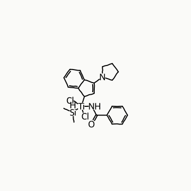 C[SiH](C)[Ti]([Cl])([Cl])([NH]C(=O)c1ccccc1)[CH]1C=C(N2CCCC2)c2ccccc21